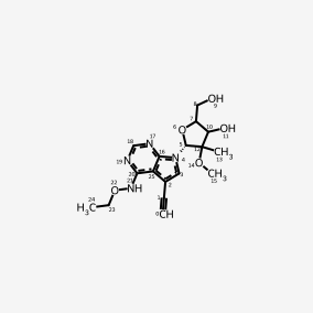 C#Cc1cn([C@@H]2OC(CO)C(O)C2(C)OC)c2ncnc(NOCC)c12